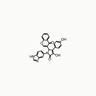 O=C1C(O)=C(c2ccc(O)cc2)C(c2coc3ccccc3c2=O)N1c1ccc2[nH]cnc2c1